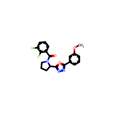 COc1cccc(-c2nnc(C3CCCN3C(=O)c3cccc(F)c3F)o2)c1